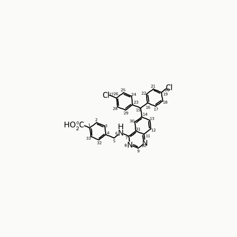 O=C(O)c1ccc(CNc2ncnc3ccc(C(c4ccc(Cl)cc4)c4ccc(Cl)cc4)cc23)cc1